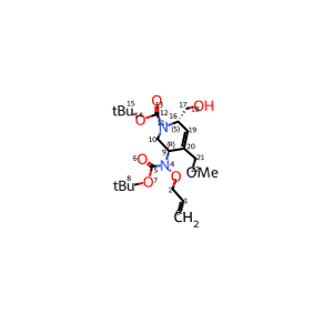 C=CCON(C(=O)OC(C)(C)C)[C@H]1CN(C(=O)OC(C)(C)C)[C@H](CO)C=C1COC